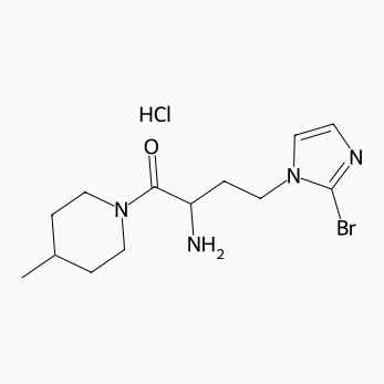 CC1CCN(C(=O)C(N)CCn2ccnc2Br)CC1.Cl